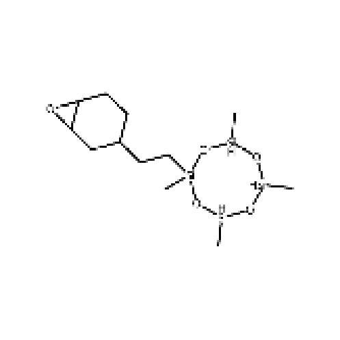 C[SiH]1O[SiH](C)O[Si](C)(CCC2CCC3OC3C2)O[SiH](C)O1